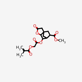 C=C(C)C(=O)OCC(=O)OC1C2CC3(CC(=O)OC13)CC2C(=O)OC